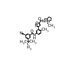 CCN1CCCC1CNC(=O)c1cc(-c2cc(NC(=O)c3cc(C#N)cc(C(C)(C)C)c3)ccc2C)no1